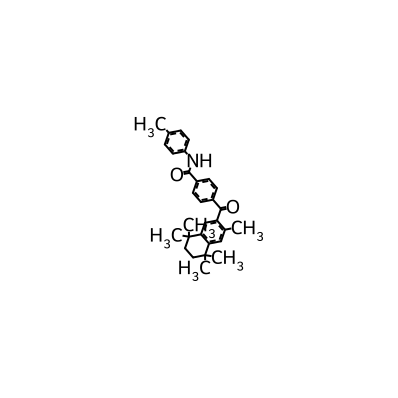 Cc1ccc(NC(=O)c2ccc(C(=O)c3cc4c(cc3C)C(C)(C)CCC4(C)C)cc2)cc1